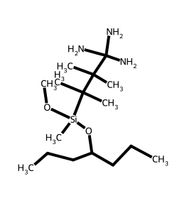 CCCC(CCC)O[Si](C)(OC)C(C)(C)C(C)(C)C(N)(N)N